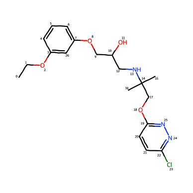 CCOc1cccc(OCC(O)CNC(C)(C)COc2ccc(Cl)nn2)c1